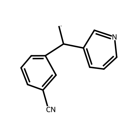 [CH2]C(c1cccnc1)c1cccc(C#N)c1